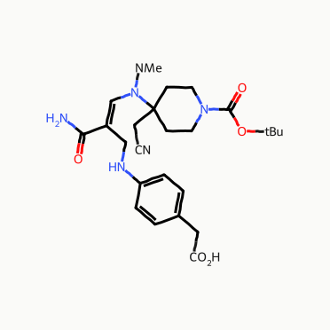 CNN(/C=C(\CNc1ccc(CC(=O)O)cc1)C(N)=O)C1(CC#N)CCN(C(=O)OC(C)(C)C)CC1